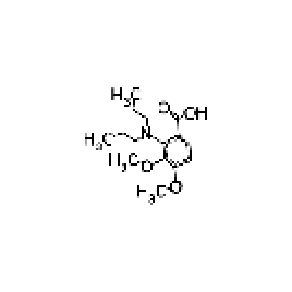 CCCN(CCC)c1c(C(=O)O)ccc(OC)c1OC